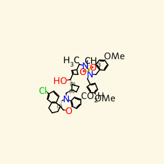 COc1ccc(CN(Cc2ccc(OC)cc2)S(=O)(=O)N(C)C(C)C2C=C(C(O)[C@@H]3CC[C@H]3CN3C[C@@]4(CCCc5cc(Cl)ccc54)COc4ccc(C(=O)O)cc43)C2)cc1